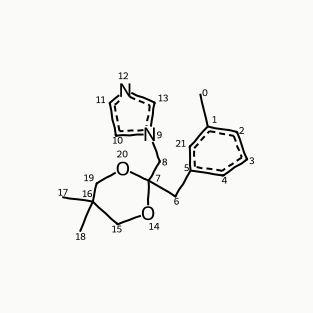 Cc1cccc(CC2(Cn3ccnc3)OCC(C)(C)CO2)c1